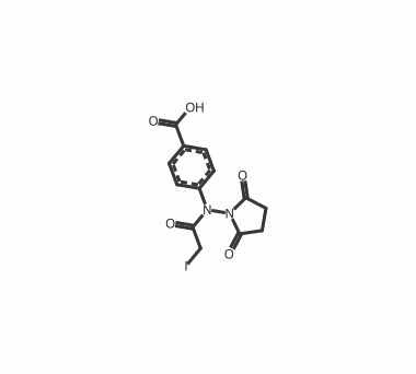 O=C(O)c1ccc(N(C(=O)CI)N2C(=O)CCC2=O)cc1